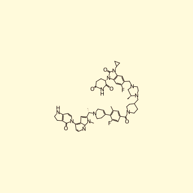 Cc1cc(C(=O)N2CCC(CN3CCN(Cc4cc5c(cc4F)n([C@H]4CCC(=O)NC4=O)c(=O)n5C4CC4)C[C@@H]3C)CC2)cc(F)c1C1=CCN([C@@H](C)c2cc3c(-n4ccc5c(c4=O)CCN5)ccnc3n2C)CC1